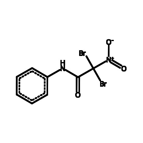 O=C(Nc1ccccc1)C(Br)(Br)[N+](=O)[O-]